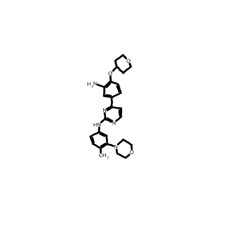 Cc1ccc(Nc2nccc(-c3ccc(OC4CCOCC4)c(N)c3)n2)cc1N1CCOCC1